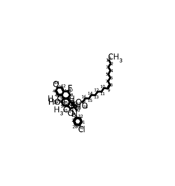 CCCCCCCC/C=C\CCCCCCCC(=O)OCC(=O)[C@@]12ON(c3ccc(Cl)cc3)C[C@@H]1CC1[C@@H]3C[C@H](F)C4=CC(=O)C=C[C@]4(C)[C@@]3(F)[C@@H](O)C[C@@]12C